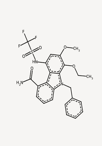 CCOc1c(OC)cc(NS(=O)(=O)C(F)(F)F)c2c3c(C(N)=O)cccc3n(Cc3ccccc3)c12